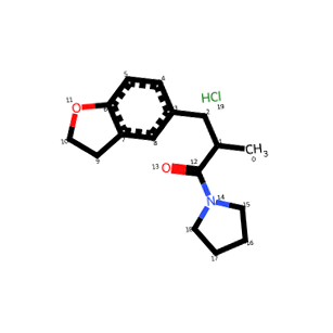 CC(Cc1ccc2c(c1)CCO2)C(=O)N1CCCC1.Cl